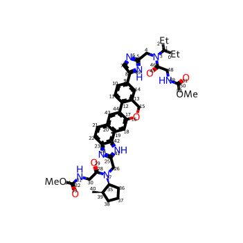 CCC(CC)N(Cc1ncc(-c2ccc3c(c2)COc2cc4c(ccc5nc(CN(C(=O)CNC(=O)OC)[C@H]6CCC[C@H]6C)[nH]c54)cc2-3)[nH]1)C(=O)CNC(=O)OC